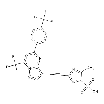 Cc1nc(C#Cc2cnn3c(C(F)(F)F)cc(-c4ccc(C(F)(F)F)cc4)nc23)sc1S(=O)(=O)O